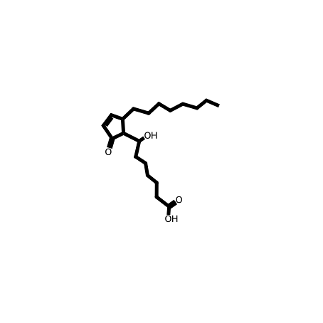 CCCCCCCCC1C=CC(=O)C1C(O)CCCCCC(=O)O